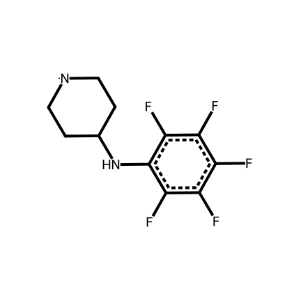 Fc1c(F)c(F)c(NC2CC[N]CC2)c(F)c1F